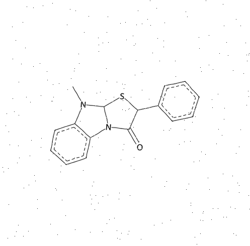 CN1c2ccccc2N2C(=O)C(c3ccccc3)SC12